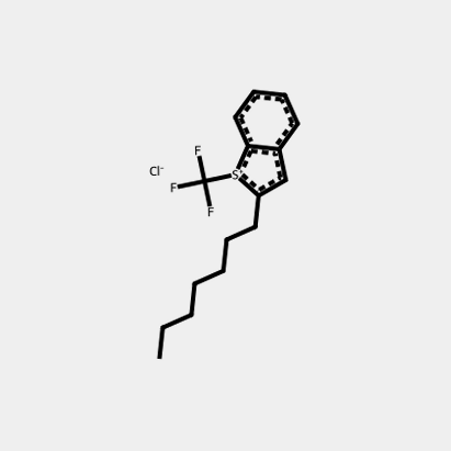 CCCCCCCc1cc2ccccc2[s+]1C(F)(F)F.[Cl-]